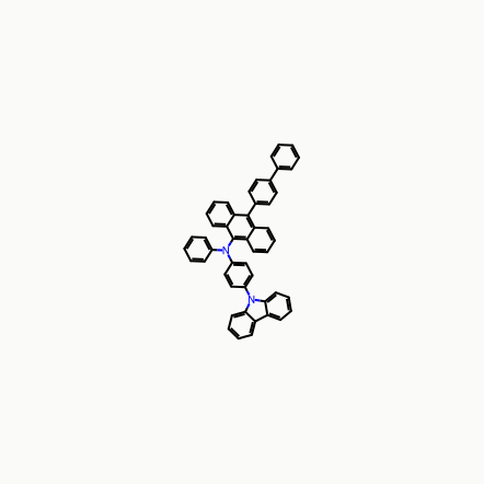 c1ccc(-c2ccc(-c3c4ccccc4c(N(c4ccccc4)c4ccc(-n5c6ccccc6c6ccccc65)cc4)c4ccccc34)cc2)cc1